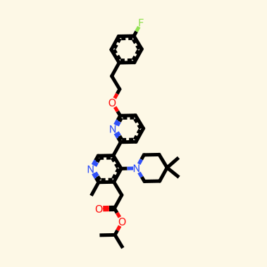 Cc1ncc(-c2cccc(OCCc3ccc(F)cc3)n2)c(N2CCC(C)(C)CC2)c1CC(=O)OC(C)C